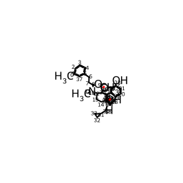 Cc1cccc(CCC(=O)N(C)C2CC[C@@]3(O)[C@H]4Cc5ccc(O)c6c5[C@@]3(CCN4CC3CC3)C2(C)O6)c1